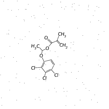 C=C(C)C(=O)OC(C)Oc1ccc(Cl)c(Cl)c1Cl